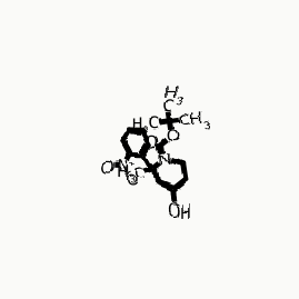 CC(C)(C)OC(=O)N1CCC(O)CC1(C)c1ccccc1[N+](=O)[O-]